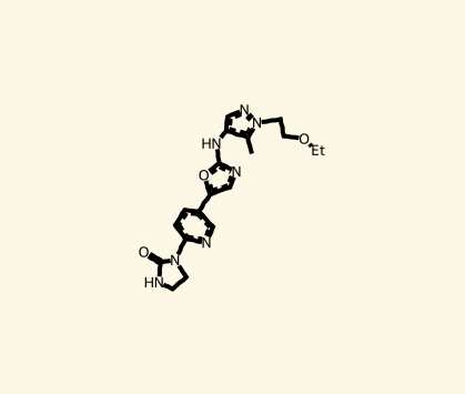 CCOCCn1ncc(Nc2ncc(-c3ccc(N4CCNC4=O)nc3)o2)c1C